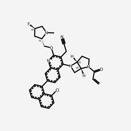 C=CC(=O)N1CC[C@@H]2[C@H]1CN2c1c(CC#N)c(OC[C@@H]2C[C@@H](F)CN2C)nc2cc(-c3cccc4cccc(Cl)c34)ccc12